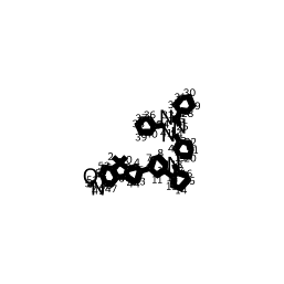 CC1(C)c2cc(-c3ccc4c(c3)c3ccccc3n4-c3cccc(-c4nc(-c5ccccc5)nc(-c5ccccc5)n4)c3)ccc2-c2cc3ncoc3cc21